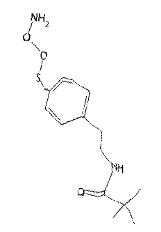 CC(C)(C)C(=O)NCCc1ccc(SOON)cc1